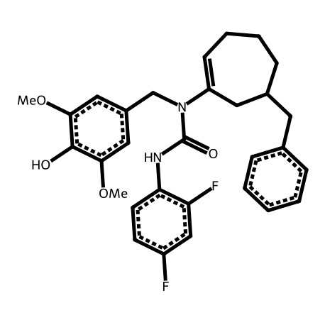 COc1cc(CN(C(=O)Nc2ccc(F)cc2F)C2=CCCCC(Cc3ccccc3)C2)cc(OC)c1O